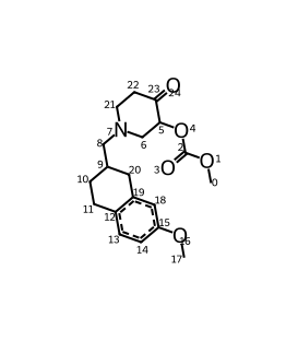 COC(=O)OC1CN(CC2CCc3ccc(OC)cc3C2)CCC1=O